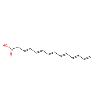 C=CC=CC=CC=CC=CC=CCC(=O)O